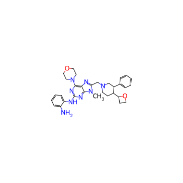 Cn1c(CN2CCC(C3CCO3)C(c3ccccc3)C2)nc2c(N3CCOCC3)nc(Nc3ccccc3N)nc21